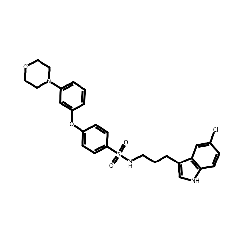 O=S(=O)(NCCCc1c[nH]c2ccc(Cl)cc12)c1ccc(Oc2cccc(N3CCOCC3)c2)cc1